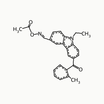 CCn1c2ccc(C=NOC(C)=O)cc2c2cc(C(=O)c3ccccc3C)ccc21